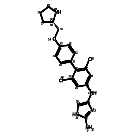 Nc1nc(Nc2cc(Cl)c(-c3ccc(OC[C@@H]4CCCN4)cc3)c(Cl)c2)n[nH]1